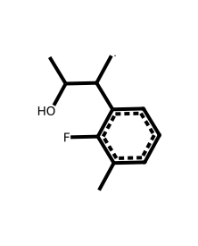 [CH2]C(c1cccc(C)c1F)C(C)O